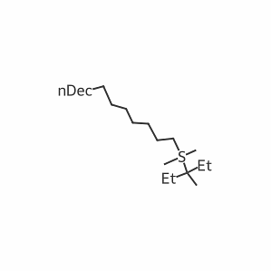 CCCCCCCCCCCCCCCCCS(C)(C)C(C)(CC)CC